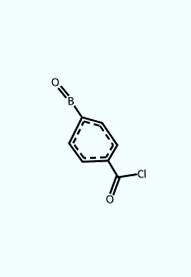 O=Bc1ccc(C(=O)Cl)cc1